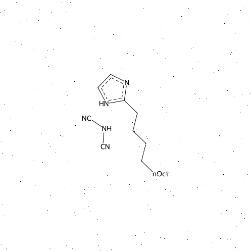 CCCCCCCCCCCCc1ncc[nH]1.N#CNC#N